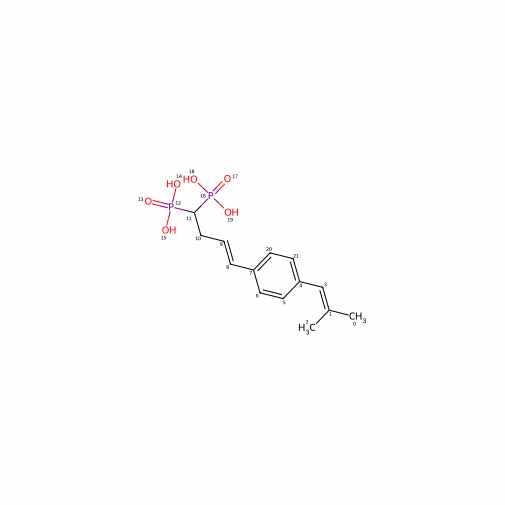 CC(C)=Cc1ccc(C=CCC(P(=O)(O)O)P(=O)(O)O)cc1